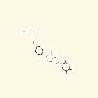 Cc1cn(C2CC(O[Si](c3ccc(COP(OCC#N)N(C(C)C)C(C)C)cc3)(C(C)C)C(C)C)C(CO)O2)c(=O)[nH]c1=O